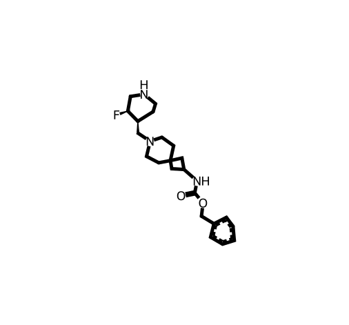 O=C(NC1CC2(CCN(C[C@@H]3CCNC[C@@H]3F)CC2)C1)OCc1ccccc1